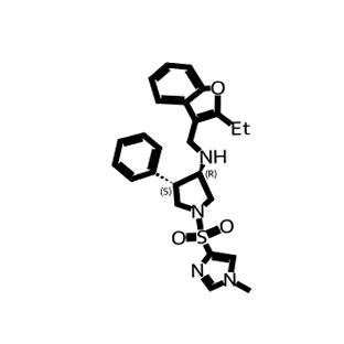 CCc1oc2ccccc2c1CN[C@H]1CN(S(=O)(=O)c2cn(C)cn2)C[C@@H]1c1ccccc1